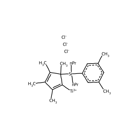 CCC[Si](CCC)(c1cc(C)cc(C)c1)C1(C)C(C)=C(C)C(C)=[C]1[Ti+3].[Cl-].[Cl-].[Cl-]